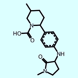 CC1CCC(c2ccc(NC3CCN(C)C3=O)cc2)N(C(=O)O)C1